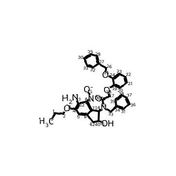 CCCOc1cc2c(c([N+](=O)[O-])c1N)C(N(CCOc1ccccc1OCc1ccccc1)Cc1ccccc1)C(O)C2